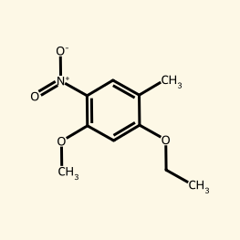 CCOc1cc(OC)c([N+](=O)[O-])cc1C